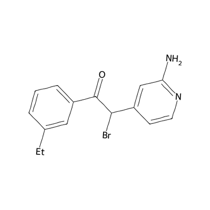 CCc1cccc(C(=O)C(Br)c2ccnc(N)c2)c1